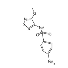 COc1nsnc1NS(=O)(=O)c1ccc(N)cc1